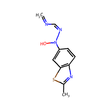 C=N/C=N\N(O)c1ccc2nc(C)sc2c1